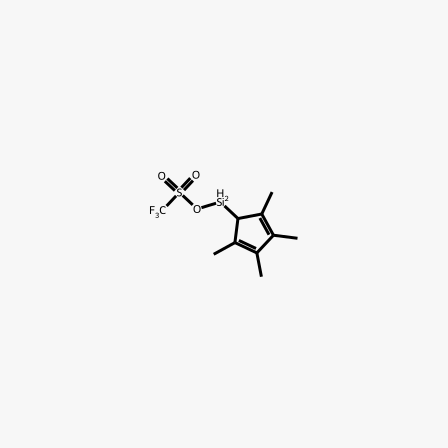 CC1=C(C)C([SiH2]OS(=O)(=O)C(F)(F)F)C(C)=C1C